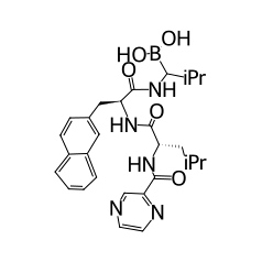 CC(C)C[C@H](NC(=O)c1cnccn1)C(=O)N[C@@H](Cc1ccc2ccccc2c1)C(=O)NC(B(O)O)C(C)C